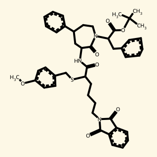 COc1ccc(CSC(CCCCN2C(=O)c3ccccc3C2=O)C(=O)NC2CC(c3ccccc3)CCN(C(Cc3ccccc3)C(=O)OC(C)(C)C)C2=O)cc1